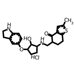 Cc1cc2c(s1)CCC(CNC1CCC(Oc3ccc4c(c3)CCN4)C1O)C2=O.Cl